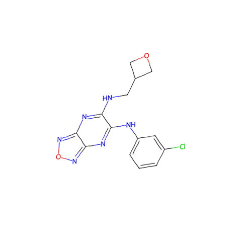 Clc1cccc(Nc2nc3nonc3nc2NCC2COC2)c1